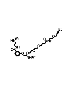 CCC#CCOCCNC(=O)CCCOCCOCCOC(COc1cccc(C(=O)NCCNC(C)C)c1)N=[N+]=[N-]